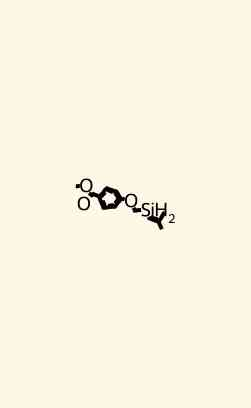 COC(=O)c1ccc(OC[SiH2]C=C(C)C)cc1